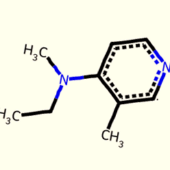 CCN(C)c1ccn[c]c1C